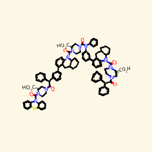 O=C(O)[C@@H]1CN(C(=O)C(c2ccccc2)c2cccc(-c3cccc4c3CC3CCCCC3N4C(=O)N3CCN(C(=O)N(c4ccccc4)c4cccc(-c5cccc6c5CC5CCCCC5N6C(=O)N5CCN(C(=O)C(c6ccccc6)c6ccccc6)C[C@H]5C(=O)O)c4)C[C@H]3C(=O)O)c2)CCN1C(=O)N1c2ccccc2Sc2ccccc21